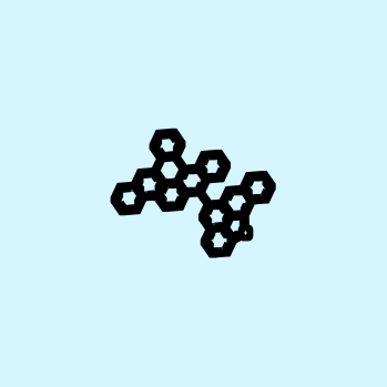 c1ccc(-c2c3ccccc3c(-c3cc4cccc5oc6c7ccccc7cc3c6c45)c3ccccc23)c(-c2ccc3ccccc3c2)c1